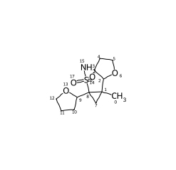 CC1(C2CCCO2)CC1(C1CCCO1)S(N)(=O)=O